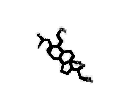 CCCC1C(CC(F)F)=CCC2C1CCC1(C)C(C(=O)CC)CCC21